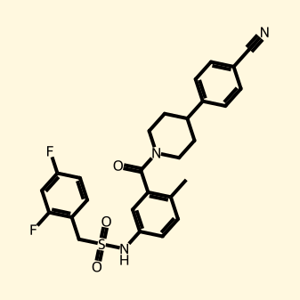 Cc1ccc(NS(=O)(=O)Cc2ccc(F)cc2F)cc1C(=O)N1CCC(c2ccc(C#N)cc2)CC1